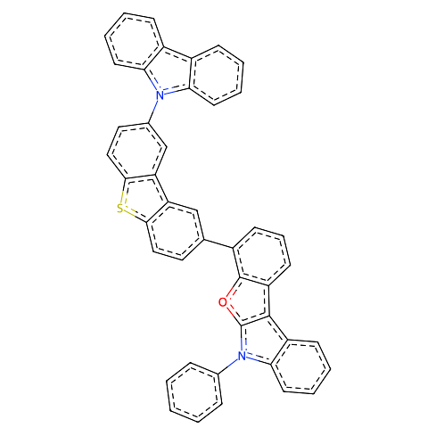 c1ccc(-n2c3ccccc3c3c4cccc(-c5ccc6sc7ccc(-n8c9ccccc9c9ccccc98)cc7c6c5)c4oc32)cc1